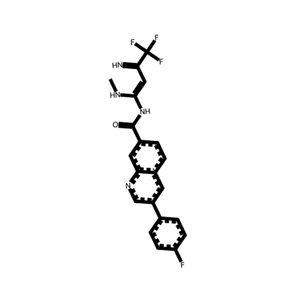 CN/C(=C\C(=N)C(F)(F)F)NC(=O)c1ccc2cc(-c3ccc(F)cc3)cnc2c1